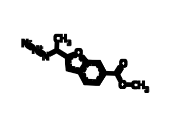 COC(=O)c1ccc2cc(C(C)N=[N+]=[N-])oc2c1